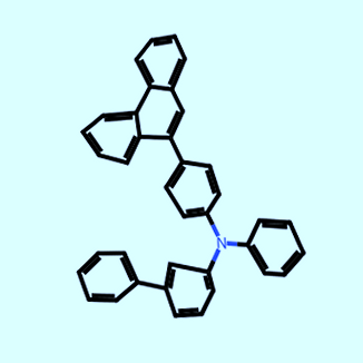 c1ccc(-c2cccc(N(c3ccccc3)c3ccc(-c4cc5ccccc5c5ccccc45)cc3)c2)cc1